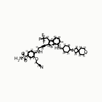 N#CCOc1cc(S(N)(=O)=O)ccc1NCC#Cc1sc2c(NC3CCC(N4CC5(CCOCC5)C4)CC3)cccc2c1CC(F)(F)F